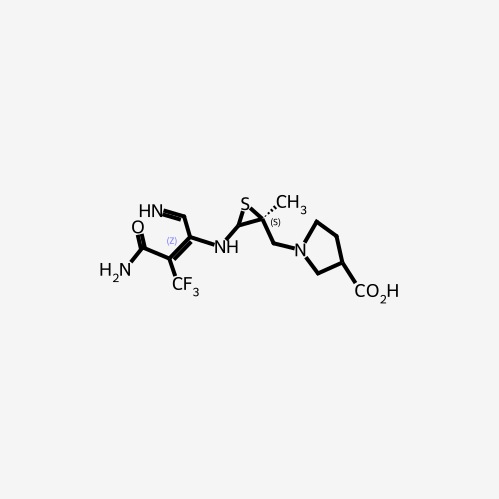 C[C@@]1(CN2CCC(C(=O)O)C2)SC1N/C(C=N)=C(/C(N)=O)C(F)(F)F